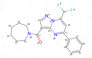 O=C(c1cnn2c(C(F)F)cc(-c3ccccc3)nc12)N1CCCCCC1